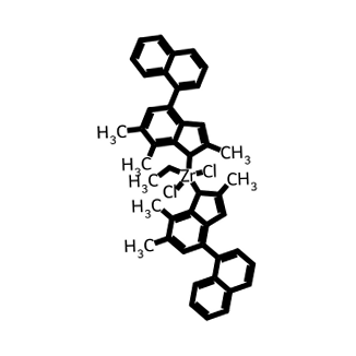 C[CH2][Zr]([Cl])([Cl])([CH]1C(C)=Cc2c(-c3cccc4ccccc34)cc(C)c(C)c21)[CH]1C(C)=Cc2c(-c3cccc4ccccc34)cc(C)c(C)c21